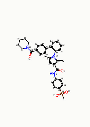 Cc1cc(C(=O)Nc2ccc(S(C)(=O)=O)cc2)c(C)n1-c1ccccc1-c1ccc(C(=O)N2CCCCC2)cc1